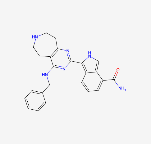 NC(=O)c1cccc2c(-c3nc4c(c(NCc5ccccc5)n3)CCNCC4)[nH]cc12